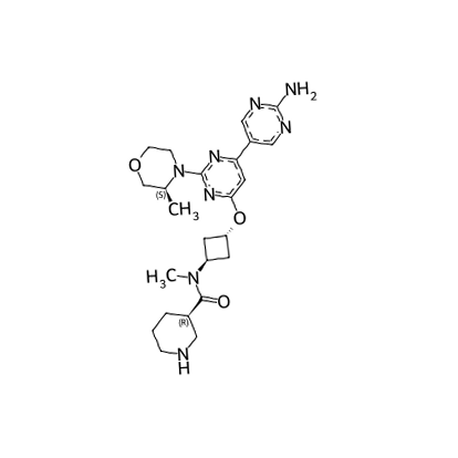 C[C@H]1COCCN1c1nc(O[C@H]2C[C@H](N(C)C(=O)[C@@H]3CCCNC3)C2)cc(-c2cnc(N)nc2)n1